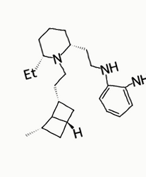 CC[C@@H]1CCC[C@H](CCNc2ccccc2N)N1CC[C@@H]1C[C@@H]2C[C@H](C)C12